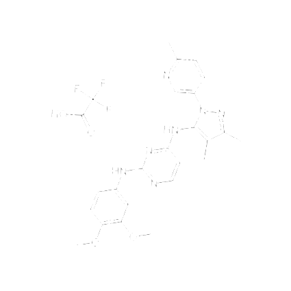 COc1ccc(Nc2nccc(Nc3c(C)c(C)nn3-c3ccc(C)nc3)n2)cc1OC.O=C(O)C(F)(F)F